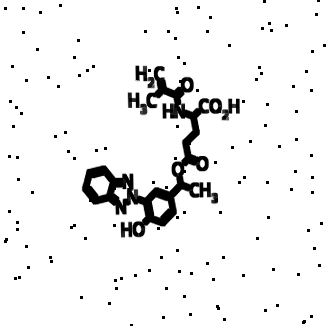 C=C(C)C(=O)NC(CCC(=O)OC(C)c1ccc(O)c(-n2nc3ccccc3n2)c1)C(=O)O